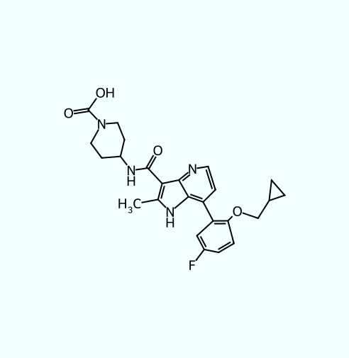 Cc1[nH]c2c(-c3cc(F)ccc3OCC3CC3)ccnc2c1C(=O)NC1CCN(C(=O)O)CC1